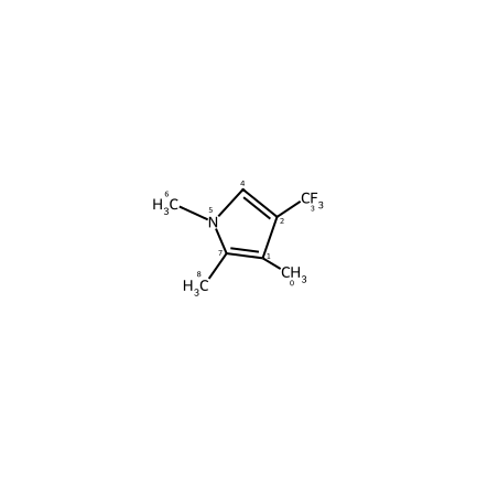 Cc1c(C(F)(F)F)cn(C)c1C